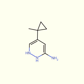 CC1(C2=CNNC(N)=C2)CC1